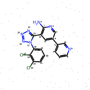 Nc1ncc(-c2cccnc2)cc1-c1nnnn1-c1cccc(Cl)c1Cl